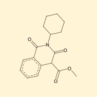 COC(=O)C1C(=O)N(C2CCCCC2)C(=O)c2ccccc21